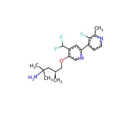 Cc1nccc(-c2cc(C(F)F)c(OC[C@@H](C)CC(C)(C)N)cn2)c1F